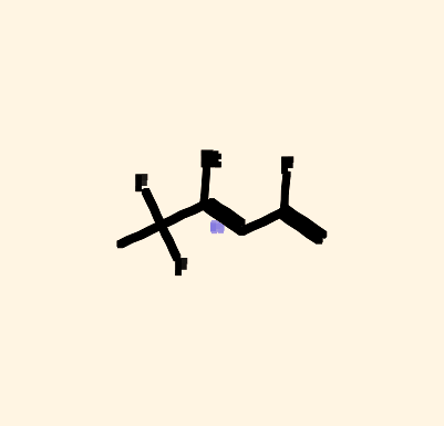 C=C(F)/C=C(\CC)C(C)(F)F